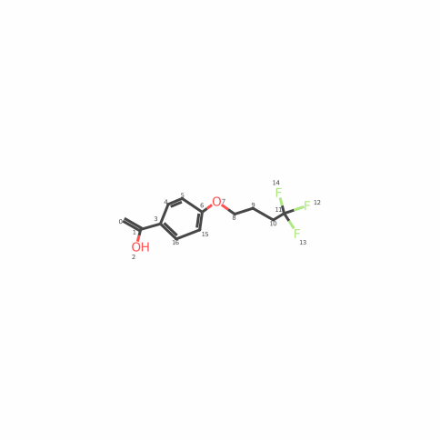 C=C(O)c1ccc(OCCCC(F)(F)F)cc1